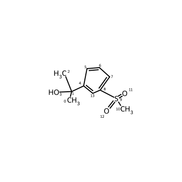 CC(C)(O)c1cccc(S(C)(=O)=O)c1